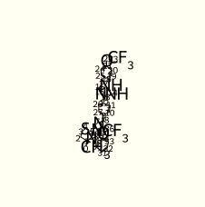 CC1CCS/C(=N\N=C\c2ccc(C(=N)/N=C\Nc3ccc(OC(F)(F)F)cc3)cc2)N1c1ccccc1OC(F)(F)F